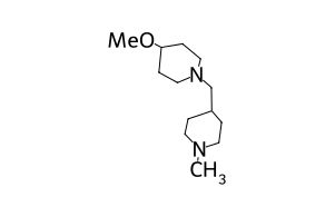 COC1CCN(CC2CCN(C)CC2)CC1